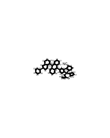 N#Cc1cccc2c1-c1cc(-c3c4ccccc4c(-c4cccc5cc(-c6ccccc6)ccc45)c4ccccc34)ccc1C21c2ccccc2Sc2ccccc21